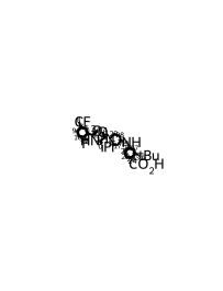 CC(C)C(NC(=O)c1cc(C(F)(F)F)ccc1F)C(=O)N1CCC(Nc2ccc(C(=O)O)c(C(C)(C)C)c2)CC1